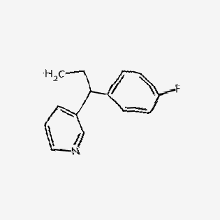 [CH2]CC(c1ccc(F)cc1)c1cccnc1